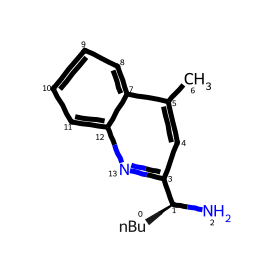 CCCC[C@H](N)c1cc(C)c2ccccc2n1